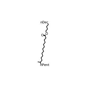 CCCCCCCCCCCCCCOC(=O)CCCCCCCCCCCC(C)CCCCC